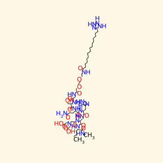 CCCCC(NC(=O)C(CNC(=O)C(Cc1c[nH]cn1)NC(=O)C(CCC(N)=O)NC(=O)C(CO)NC(=O)CNC(=O)COCCOCCNC(=O)CCCCCCCCCCCCCCCC1=NNNN1)NC(=O)CN(CC(=O)O)CC(=O)O)C(=O)NC